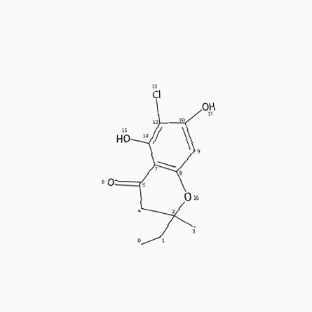 CCC1(C)CC(=O)c2c(cc(O)c(Cl)c2O)O1